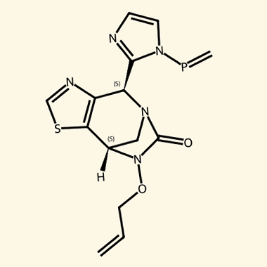 C=CCON1C(=O)N2C[C@H]1c1scnc1[C@H]2c1nccn1P=C